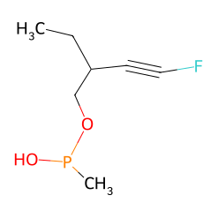 CCC(C#CF)COP(C)O